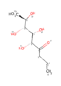 C=CCC(=O)[C@H](O)[C@@H](O)[C@H](O)[C@H](O)C(=O)O